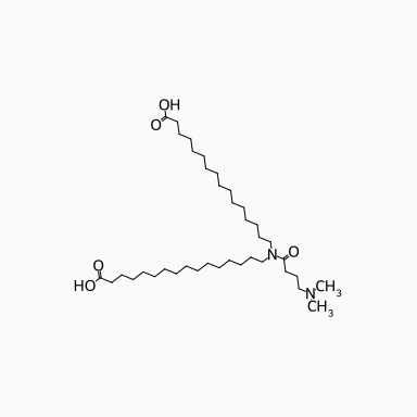 CN(C)CCCC(=O)N(CCCCCCCCCCCCCCCC(=O)O)CCCCCCCCCCCCCCCC(=O)O